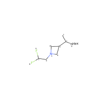 CCCCCCC(C)C1CN(CC(F)F)C1